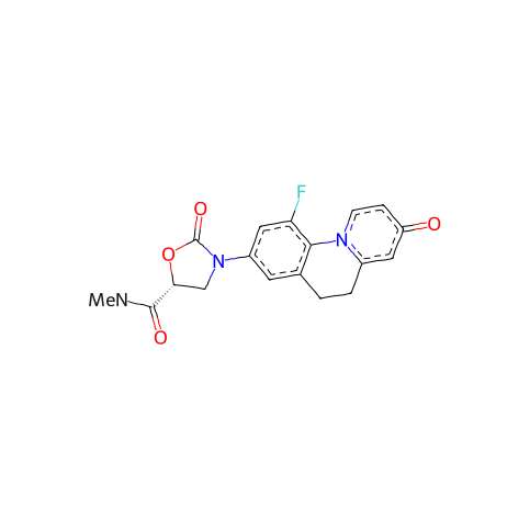 CNC(=O)[C@H]1CN(c2cc(F)c3c(c2)CCc2cc(=O)ccn2-3)C(=O)O1